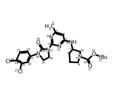 Cc1cc(NC2CCCN(C(=O)OC(C)(C)C)C2)nc(N2CCN(c3ccc(Cl)c(Cl)c3)C2=O)n1